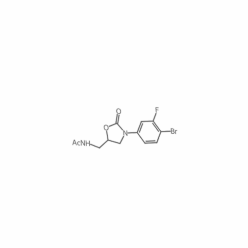 CC(=O)NCC1CN(c2ccc(Br)c(F)c2)C(=O)O1